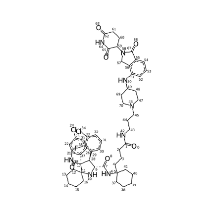 O=C(CCCC1(NC(=O)[C@@H]2NC3(CCCCC3)[C@@]3(C(=O)Nc4cc(Cl)ccc43)[C@H]2c2cccc(Cl)c2F)CCCCC1)NCCCN1CCC(Nc2cccc3c2CN(C2CCC(=O)NC2=O)C3=O)CC1